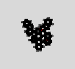 c1ccc(-c2c(N(c3cccc(-c4cccc5c4oc4ccccc45)c3)c3ccccc3-c3cccc4c3sc3ccccc34)c3ccccc3c3ccccc23)cc1